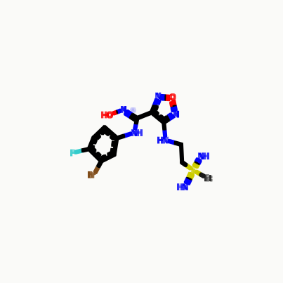 CCS(=N)(=N)CCNc1nonc1/C(=N/O)Nc1ccc(F)c(Br)c1